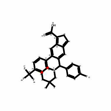 CC1(C)CCCN(C(c2ccc(F)cc2)c2cc3c(cc2-c2ccc(C(F)(F)F)cc2)=C(C(=O)O)CC=3)C1